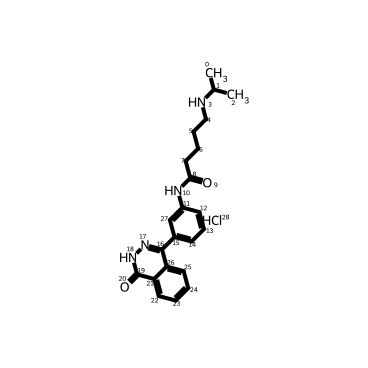 CC(C)NCCCCC(=O)Nc1cccc(-c2n[nH]c(=O)c3ccccc23)c1.Cl